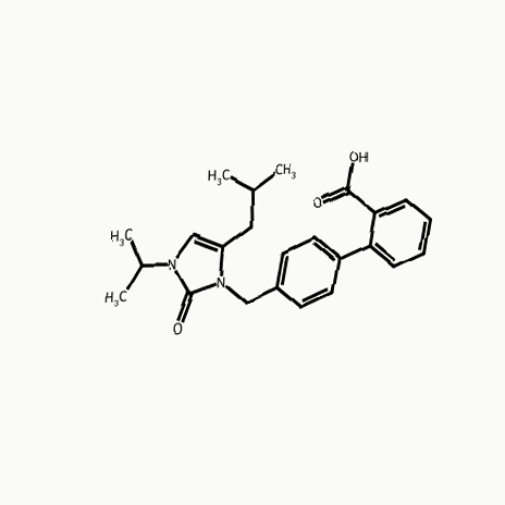 CC(C)Cc1cn(C(C)C)c(=O)n1Cc1ccc(-c2ccccc2C(=O)O)cc1